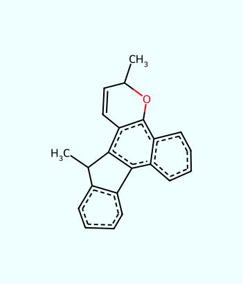 CC1C=Cc2c3c(c4ccccc4c2O1)-c1ccccc1C3C